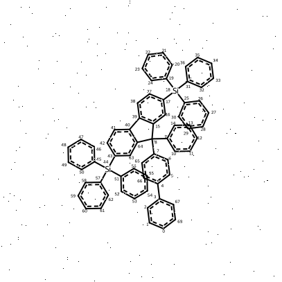 c1ccc(-c2ccc(C3(c4ccccc4)c4cc([Si](c5ccccc5)(c5ccccc5)c5ccccc5)ccc4-c4ccc([Si](c5ccccc5)(c5ccccc5)c5ccccc5)cc43)cc2)cc1